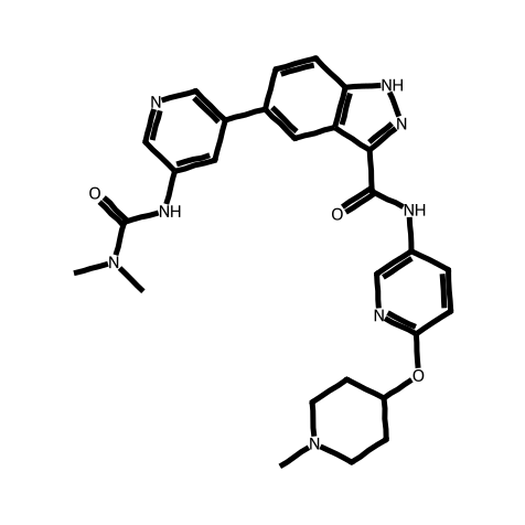 CN1CCC(Oc2ccc(NC(=O)c3n[nH]c4ccc(-c5cncc(NC(=O)N(C)C)c5)cc34)cn2)CC1